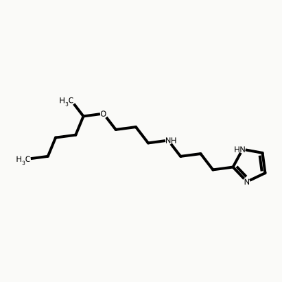 CCCCC(C)OCCCNCCCc1ncc[nH]1